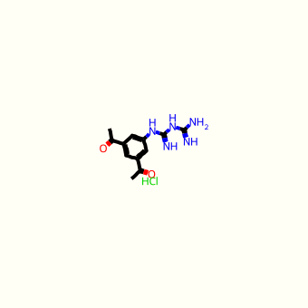 CC(=O)c1cc(NC(=N)NC(=N)N)cc(C(C)=O)c1.Cl